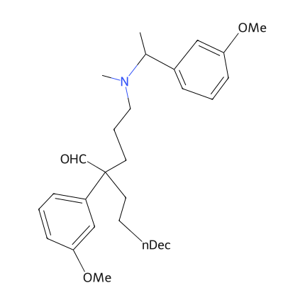 CCCCCCCCCCCCC(C=O)(CCCN(C)C(C)c1cccc(OC)c1)c1cccc(OC)c1